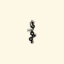 COc1cccc(-n2cnc3cc(NCc4ccc(C(F)(F)F)nc4)ccc32)c1